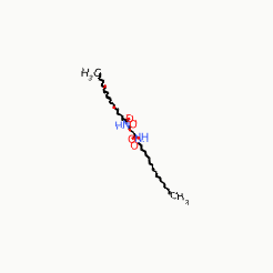 CCCCCCCCC=CCCCCCCCC(=O)NC(=O)CCC(=O)NC(=O)CCCCCCCC=CCCCCCCCC